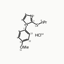 CCCSc1nccn1-c1ccc(OC)cc1.Cl